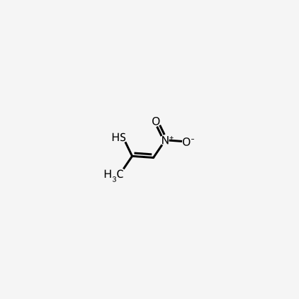 CC(S)=C[N+](=O)[O-]